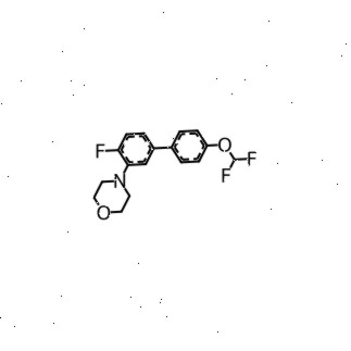 Fc1ccc(-c2ccc(OC(F)F)cc2)cc1N1CCOCC1